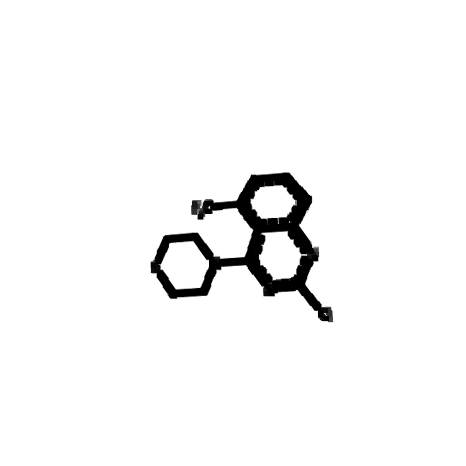 FC(F)(F)c1cccc2nc(Cl)nc(N3CCSCC3)c12